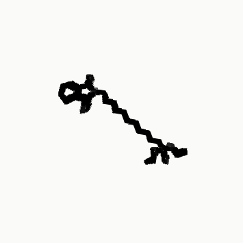 CCOP(=O)(CCCCCCCCCCCN1C(=O)c2ccccc2C1=O)OCC